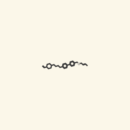 C=CC1CCC(CCCCc2ccc(-c3ccc(COCC=CC)cc3)cc2)CC1